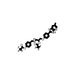 Cc1cnc2[nH]c(-c3ccc(OCC(CNCc4ccc(OC(=O)C(F)(F)F)cc4)OC(=O)C(F)(F)F)cc3)nc2c1